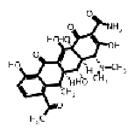 CC(=O)c1ccc(O)c2c1[C@@H](C)[C@H]1C(=C(O)[C@@]3(O)C(=O)C(C(N)=O)=C(O)[C@H](N(C)C)[C@H]3[C@@H]1O)C2=O